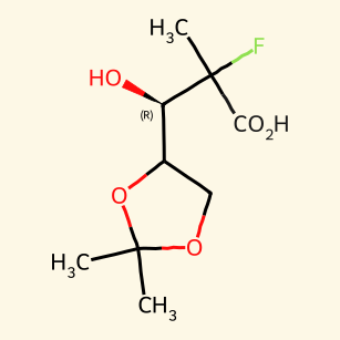 CC1(C)OCC([C@@H](O)C(C)(F)C(=O)O)O1